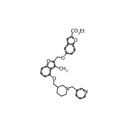 CCOC(=O)c1cc2cc(OCc3oc4cccc(OCC5CCCN(Cc6cccnc6)C5)c4c3C)ccc2o1